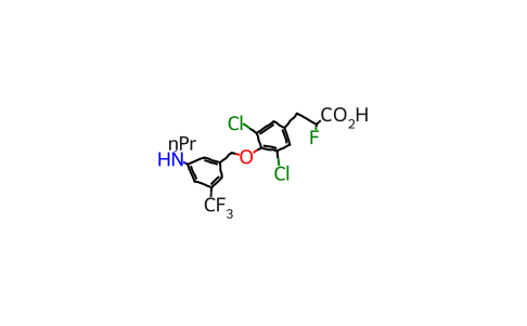 CCCNc1cc(COc2c(Cl)cc(CC(F)C(=O)O)cc2Cl)cc(C(F)(F)F)c1